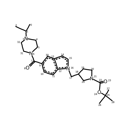 CC(C)N1CCN(C(=O)c2ccc3c(ccn3CC3CCN(C(=O)OC(C)(C)C)C3)c2)CC1